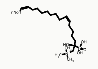 CCCCCCCCC/C=C\CCCCCCC/C=C\CCCCC(O)(C[N+](C)(C)C)P(=O)(O)O